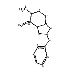 CC1CCC2CN(Cc3ccccc3)CC2C1=O